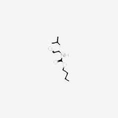 CCCCOC(=O)N[C@H](C=O)CC(C)C